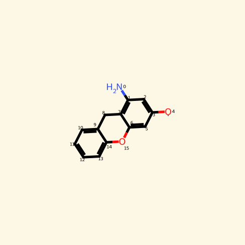 Nc1cc([O])cc2c1Cc1ccccc1O2